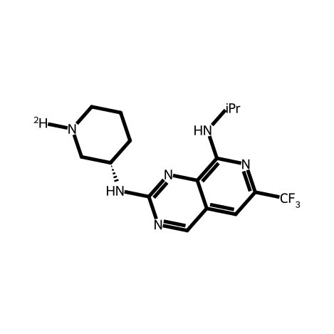 [2H]N1CCC[C@H](Nc2ncc3cc(C(F)(F)F)nc(NC(C)C)c3n2)C1